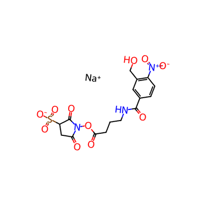 O=C(CCCNC(=O)c1ccc([N+](=O)[O-])c(CO)c1)ON1C(=O)CC(S(=O)(=O)[O-])C1=O.[Na+]